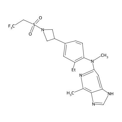 CCc1cc(C2CN(S(=O)(=O)CC(F)(F)F)C2)ccc1N(C)c1cc2[nH]cnc2c(C)n1